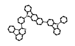 c1ccc(-n2c3ccccc3c3cc(-c4ccc5cc6c(cc5c4)c4ccccc4n6-c4cccc(-c5ncc6cccc7c6c5-c5ccccc5-7)c4)ccc32)cc1